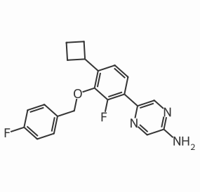 Nc1cnc(-c2ccc(C3CCC3)c(OCc3ccc(F)cc3)c2F)cn1